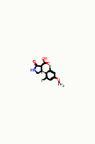 COc1cc(F)c([C@H]2CNC(=O)C2C(=O)O)c(F)c1